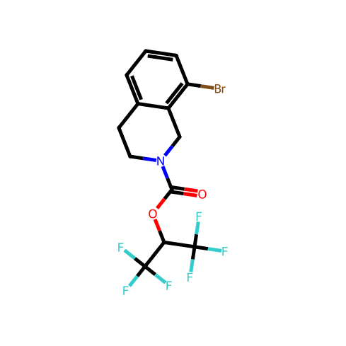 O=C(OC(C(F)(F)F)C(F)(F)F)N1CCc2cccc(Br)c2C1